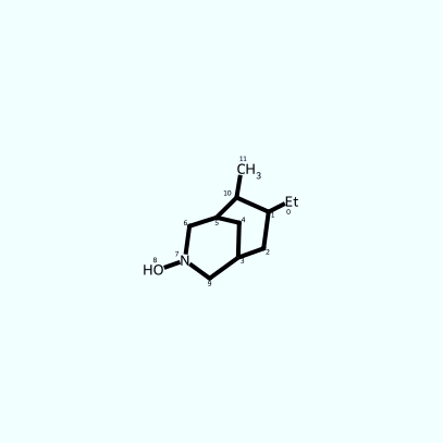 CCC1CC2CC(CN(O)C2)C1C